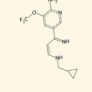 N=C(/C=C\NCC1CC1)c1cnc(N)c(OC(F)(F)F)c1